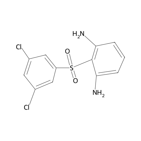 Nc1cccc(N)c1S(=O)(=O)c1cc(Cl)cc(Cl)c1